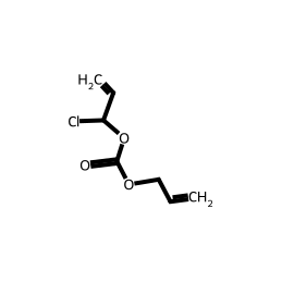 C=CCOC(=O)OC(Cl)C=C